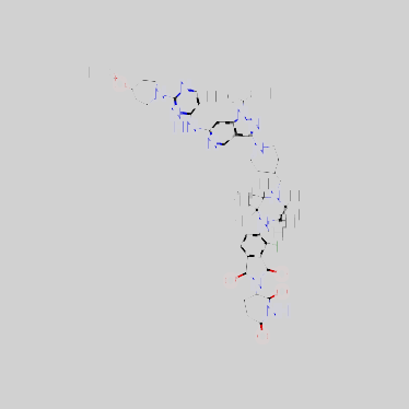 [2H]C1([2H])N(CC2CCN(c3nn(C(C)C)c4cc(Nc5ccnc(N6CCC(OC)CC6)n5)ncc34)CC2)C([2H])([2H])C([2H])([2H])N(c2ccc3c(c2F)C(=O)N(C2CCC(=O)NC2=O)C3=O)C1([2H])[2H]